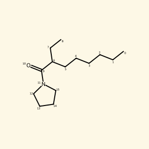 CCCCCCC(CC)C(=O)N1CCCC1